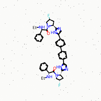 CCN[C@@H](C(=O)N1C[C@@H](F)C[C@H]1c1ncc(-c2ccc(-c3ccc(-c4cnc([C@@H]5C[C@H](F)CN5C(=O)[C@H](NCC)c5ccccc5)[nH]4)cc3)cc2)[nH]1)c1ccccc1